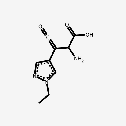 CCn1cc(C(=C=O)C(N)C(=O)O)cn1